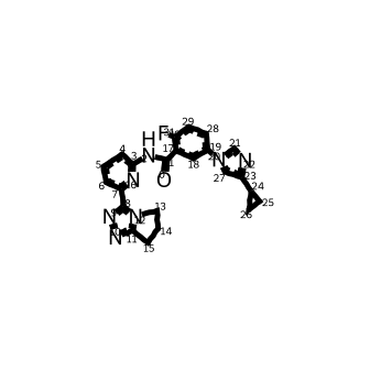 O=C(Nc1cccc(-c2nnc3n2CCC3)n1)c1cc(-n2cnc(C3CC3)c2)ccc1F